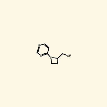 OCC1CCN1c1ccn[c]n1